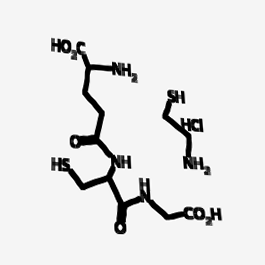 Cl.NC(CCC(=O)NC(CS)C(=O)NCC(=O)O)C(=O)O.NCCS